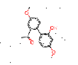 COc1ccc(-c2ccc(OC)cc2C(C)=O)c(O)c1